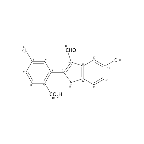 O=Cc1c(-c2cc(Cl)ccc2C(=O)O)sc2ccc(Cl)cc12